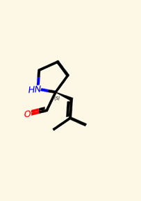 CC(C)=C[C@]1(C=O)CCCN1